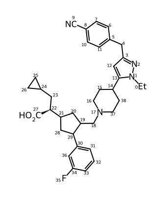 CCn1nc(Cc2ccc(C#N)cc2)cc1C1CCN(CC2CC([C@H](CC3CC3)C(=O)O)CC2c2cccc(F)c2)CC1